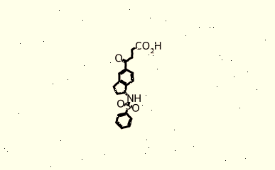 O=C(O)CCC(=O)c1ccc2c(c1)CCC2NS(=O)(=O)c1ccccc1